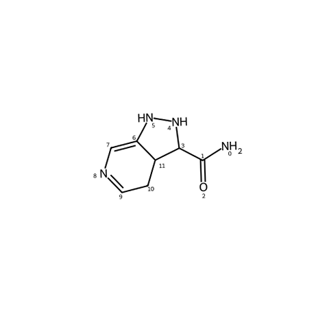 NC(=O)C1NNC2=CN=CCC21